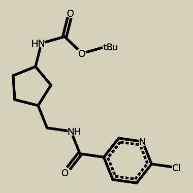 CC(C)(C)OC(=O)NC1CCC(CNC(=O)c2ccc(Cl)nc2)C1